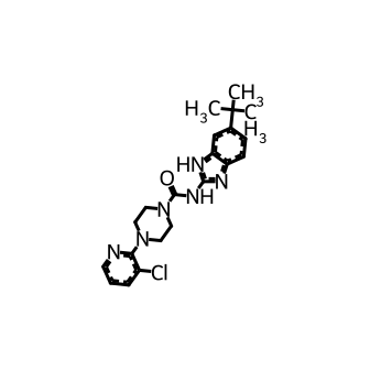 CC(C)(C)c1ccc2nc(NC(=O)N3CCN(c4ncccc4Cl)CC3)[nH]c2c1